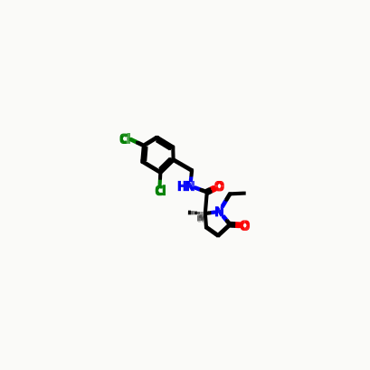 CCN1C(=O)CC[C@@]1(C)C(=O)NCc1ccc(Cl)cc1Cl